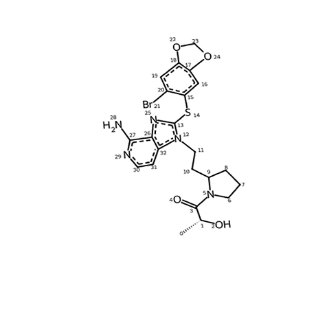 C[C@@H](O)C(=O)N1CCCC1CCn1c(Sc2cc3c(cc2Br)OCO3)nc2c(N)nccc21